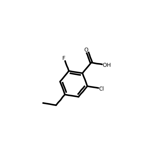 CCc1cc(F)c(C(=O)O)c(Cl)c1